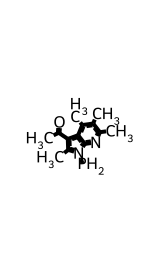 CC(=O)c1c(C)n(P)c2nc(C)c(C)c(C)c12